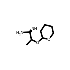 CC(OC1CCCCO1)C(=N)N